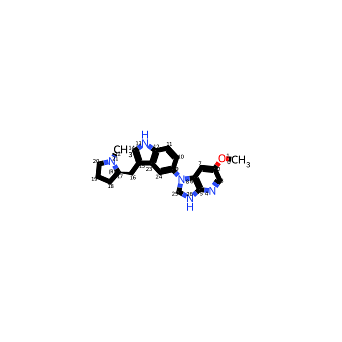 COc1cnc2c(c1)N(c1ccc3[nH]cc(C[C@H]4CCCN4C)c3c1)CN2